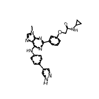 Cn1cnc2c(Nc3ccc(-c4cn[nH]c4)cc3)nc(-c3cccc(OCC(=O)NC4CC4)c3)nc21